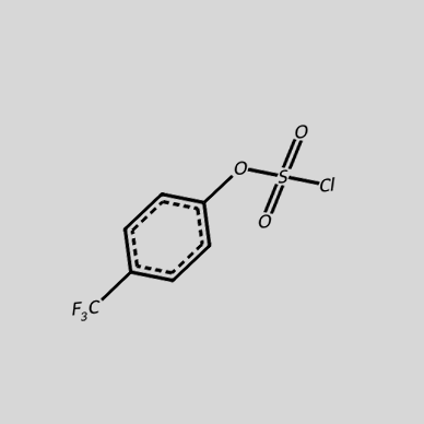 O=S(=O)(Cl)Oc1ccc(C(F)(F)F)cc1